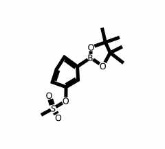 CC1(C)OB(c2cccc(OS(C)(=O)=O)c2)OC1(C)C